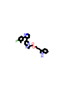 Cc1cc(-c2ncccc2-c2ccc3ncc(C(=O)OCCCc4c[nH]c5ccccc45)n3c2)ccc1F